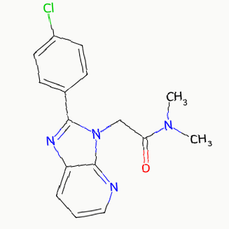 CN(C)C(=O)Cn1c(-c2ccc(Cl)cc2)nc2cccnc21